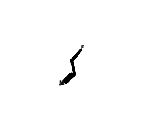 FC[CH]=[Ni]